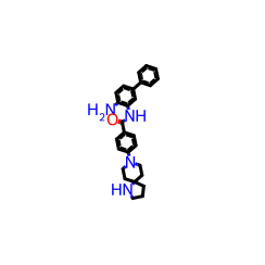 Nc1ccc(-c2ccccc2)cc1NC(=O)c1ccc(N2CCC3(CCCN3)CC2)cc1